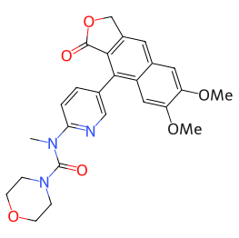 COc1cc2cc3c(c(-c4ccc(N(C)C(=O)N5CCOCC5)nc4)c2cc1OC)C(=O)OC3